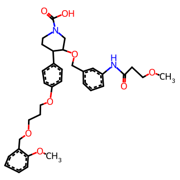 COCCC(=O)Nc1cccc(COC2CN(C(=O)O)CCC2c2ccc(OCCCOCc3ccccc3OC)cc2)c1